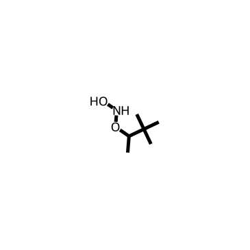 CC(ONO)C(C)(C)C